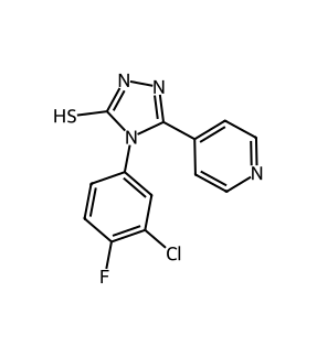 Fc1ccc(-n2c(S)nnc2-c2ccncc2)cc1Cl